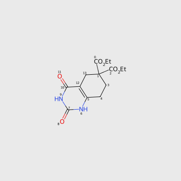 CCOC(=O)C1(C(=O)OCC)CCc2[nH]c(=O)[nH]c(=O)c2C1